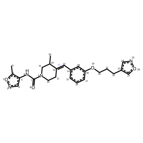 Cc1oncc1NC(=O)N1CC/C(=C\c2cccc(OCCCc3cnoc3)c2)C(C)C1